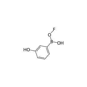 OB(OF)c1cccc(O)c1